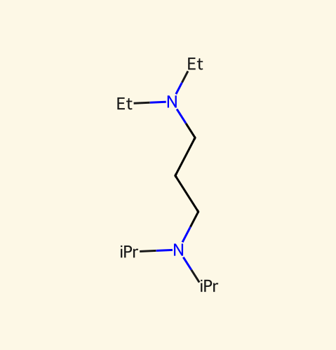 CCN(CC)CCCN(C(C)C)C(C)C